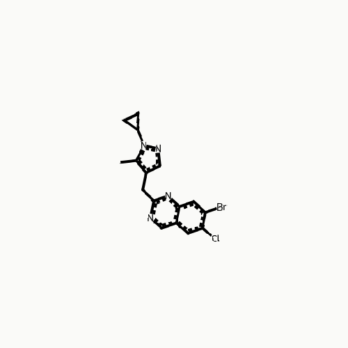 Cc1c(Cc2ncc3cc(Cl)c(Br)cc3n2)cnn1C1CC1